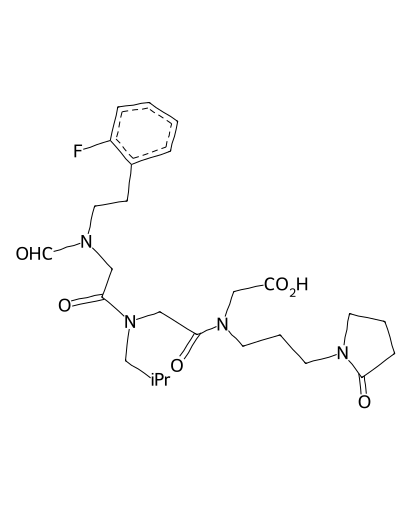 CC(C)CN(CC(=O)N(CCCN1CCCC1=O)CC(=O)O)C(=O)CN(C=O)CCc1ccccc1F